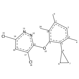 Cc1cc(C)c(C2CC2)c(Oc2nnc(Cl)cc2Cl)c1C